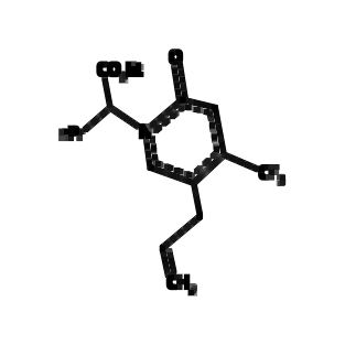 C=CCc1cn(C(CCC)C(=O)OCC)c(=O)cc1C(F)(F)F